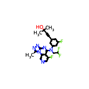 Cc1nnc2nc(N(CC(F)F)c3cc(F)cc(C#CC(C)(C)O)c3)c3c(F)cncc3n12